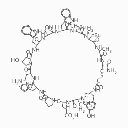 CCCC[C@H]1C(=O)N(C)[C@@H](CCCC)C(=O)N[C@@H](C)C(=O)N[C@H](C(N)=O)CSCC(=O)N[C@@H](Cc2ccc(O)cc2)CN(C)[C@@H](C)C(=O)N[C@@H](CCC(=O)O)CN2CCC[C@H]2C(=O)N[C@@H](Cc2cnc[nH]2)C(=O)N[C@@H](CCN)C(=O)N2C[C@H](O)C[C@H]2C(=O)N[C@@H](Cc2c[nH]c3ccccc23)C(=O)N[C@@H](CO)C(=O)N[C@@H](Cc2c[nH]c3ccccc23)C(=O)N1C